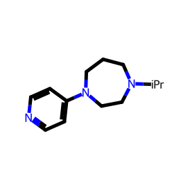 CC(C)N1CCCN(c2ccncc2)CC1